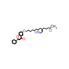 CC(Cl)CCCC1=CCNC(CCCCCCOc2ccc3oc(-c4ccccc4)cc(=O)c3c2)C1